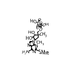 CSc1nc(N)c2ncn([C@]3(C)C[C@](C)(COP(=O)(O)OP(=O)(O)O)[C@@H](O)[C@H]3O)c2n1